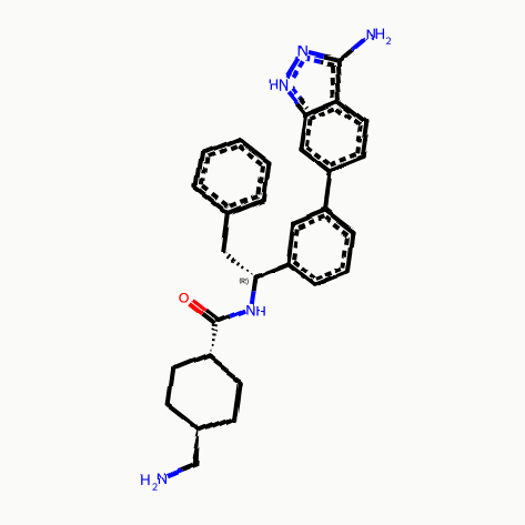 NC[C@H]1CC[C@H](C(=O)N[C@H](Cc2ccccc2)c2cccc(-c3ccc4c(N)n[nH]c4c3)c2)CC1